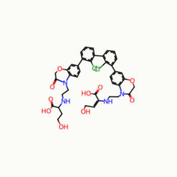 O=C(O)/C(=C\CO)NCCN1C(=O)COc2cc(-c3cccc(-c4cccc(-c5ccc6c(c5)OCC(=O)N6CCNC(CCO)C(=O)O)c4Cl)c3Cl)ccc21